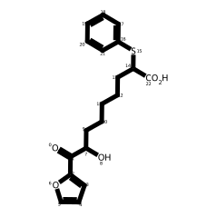 O=C(c1ccco1)C(O)CCCCCC(Sc1ccccc1)C(=O)O